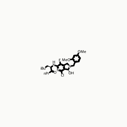 CCCC(=O)[C@@H](CC(C)CC)Nc1nc(Cl)c2c(c1F)CN(Cc1ccc(OC)cc1OC)[C@@H]2O